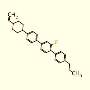 C=CC1CCC(c2ccc(-c3ccc(-c4ccc(CCC)cc4)c(F)c3)cc2)CC1